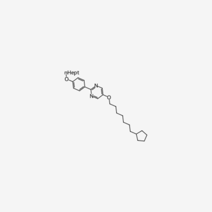 CCCCCCCOc1ccc(-c2ncc(OCCCCCCCC3CCCC3)cn2)cc1